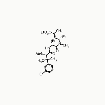 CCOC(=O)/C(C)=C/[C@H](C(C)C)N(C)C(=O)[C@@H](NC(=O)[C@@H](NC)C(C)(C)c1cccc(Cl)c1)C(C)(C)C